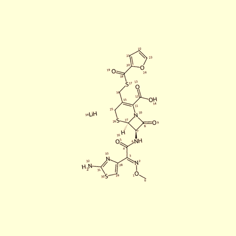 CON=C(C(=O)N[C@@H]1C(=O)N2C(C(=O)O)=C(CSC(=O)c3ccco3)CS[C@H]12)c1csc(N)n1.[LiH]